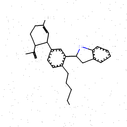 C=C(C)C1CCC(C)=CC1c1ccc(CCCCC)c(C2Cc3ccccc3N2)c1